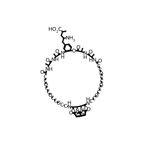 CC(C[C@@H](N)Cc1ccc2c(c1)NC(=O)C(C)NC(=O)C(C)NC(=O)CCOCCOCCOCCNC(=O)C(N1C(=O)C=CC1=O)C(N1C(=O)C=CC1=O)C(=O)NCCOCCOCCOCCC(=O)NC(C)C(=O)NC(C)C(=O)O2)C(=O)O